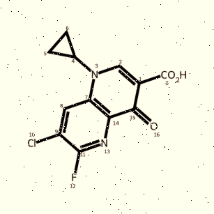 O=C(O)c1cn(C2CC2)c2cc(Cl)c(F)nc2c1=O